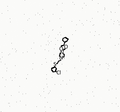 Clc1cccc(SCCCN2CCN(C3=COC(C4=CC=CCC4)=CO3)CC2)c1